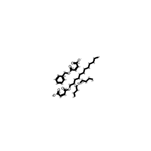 CCCCCCCCCCCCOC(=O)/C=C\C(=O)[O-].CCC[CH2][Sn+2][CH2]CCC.O=C([O-])/C=C\C(=O)OCc1ccccc1